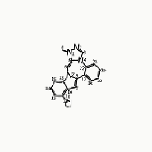 CN1N=CN2C1=Cn1c(cc3c(Cl)cccc31)-c1ccccc12